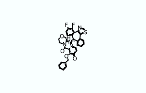 O=C1c2c(OCc3ccccc3)c(=O)ccn2N([C@@H]2c3ccccc3-c3scnc3-c3c2ccc(F)c3F)[C@@H]2COCCN12